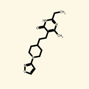 CCc1nc(C)c(CCC2CCN(c3ccon3)CC2)c(=O)[nH]1